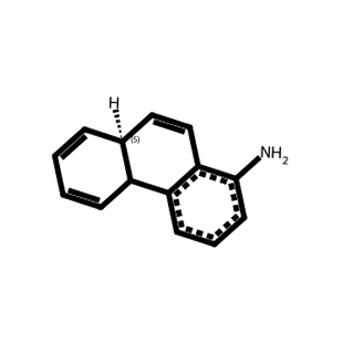 Nc1cccc2c1C=C[C@@H]1C=CC=CC21